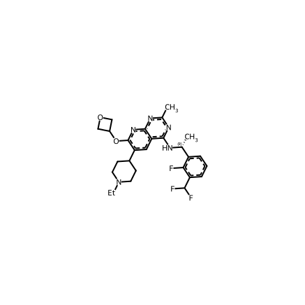 CCN1CCC(c2cc3c(N[C@H](C)c4cccc(C(F)F)c4F)nc(C)nc3nc2OC2COC2)CC1